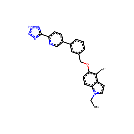 CCCc1c(OCc2cccc(-c3ccc(-c4nn[nH]n4)nc3)c2)ccc2c1ccn2CC(C)(C)C